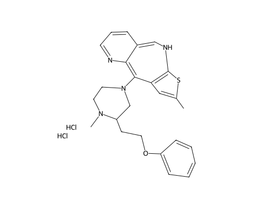 Cc1cc2c(s1)NC=c1cccnc1=C2N1CCN(C)C(CCOc2ccccc2)C1.Cl.Cl